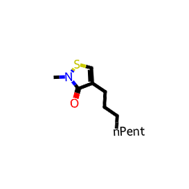 CCCCCCCCc1csn(C)c1=O